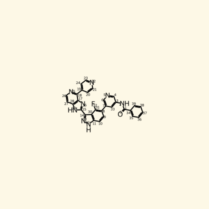 O=C(Nc1cncc(-c2ccc3[nH]nc(-c4nc5c(-c6ccncc6)nccc5[nH]4)c3c2F)c1)c1ccccc1